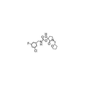 O=C(NCc1cc(F)cc(Cl)c1)OC1(O)CCN(C[C@H]2CCCO2)C1=O